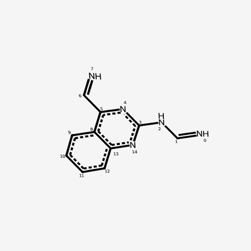 N=CNc1nc(C=N)c2ccccc2n1